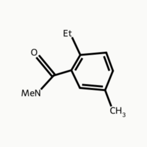 CCc1ccc(C)cc1C(=O)NC